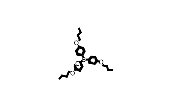 CCCCOc1ccc(B(c2ccc(OCCCC)cc2)c2ccc(OCCCC)cc2)cc1